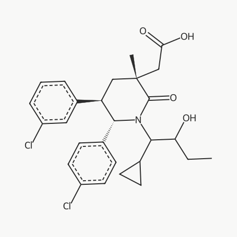 CCC(O)C(C1CC1)N1C(=O)[C@@](C)(CC(=O)O)C[C@H](c2cccc(Cl)c2)[C@H]1c1ccc(Cl)cc1